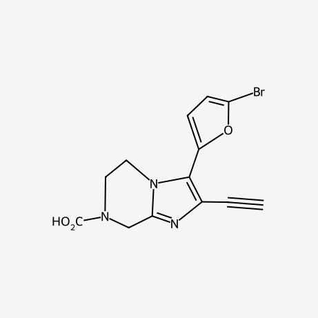 C#Cc1nc2n(c1-c1ccc(Br)o1)CCN(C(=O)O)C2